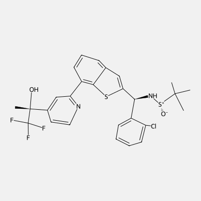 CC(C)(C)[S@+]([O-])N[C@H](c1cc2cccc(-c3cc([C@@](C)(O)C(F)(F)F)ccn3)c2s1)c1ccccc1Cl